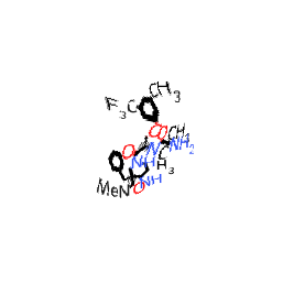 CNC(=O)[C@]1(Cc2ccccc2)CN(C(=O)[C@@H](COc2cc(C)cc(C(F)(F)F)c2)NC(=O)C(C)(C)N)CCC1=N